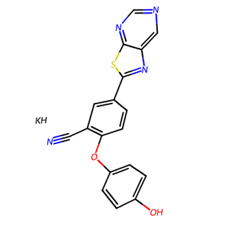 N#Cc1cc(-c2nc3cncnc3s2)ccc1Oc1ccc(O)cc1.[KH]